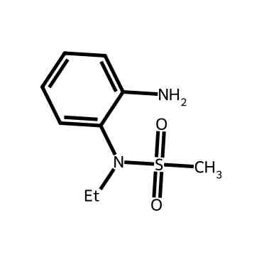 CCN(c1ccccc1N)S(C)(=O)=O